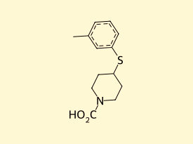 Cc1cccc(SC2CCN(C(=O)O)CC2)c1